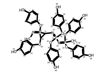 CN=P1(Oc2ccc(O)cc2)C(N=P(N=P(C)(Oc2ccc(O)cc2)Oc2ccc(O)cc2)(Oc2ccc(O)cc2)Oc2ccc(O)cc2)C1Oc1ccc(O)cc1